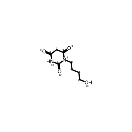 O=C1CC(=O)N(CCCCO)C(=O)N1